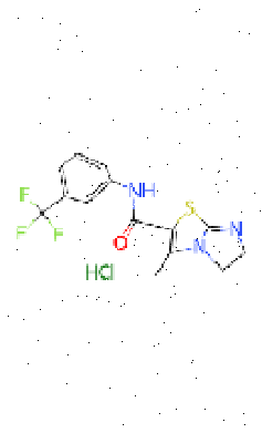 CC1=C(C(=O)Nc2cccc(C(F)(F)F)c2)SC2=NCCN21.Cl